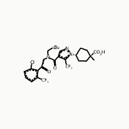 CC(C)(C)CN(CC(=O)c1c(Cl)cccc1C(F)(F)F)C(=O)c1cnn([C@H]2CC[C@](C)(C(=O)O)CC2)c1C(F)(F)F